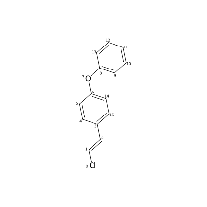 ClC=Cc1ccc(Oc2ccccc2)cc1